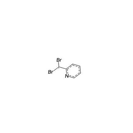 Br[C](Br)c1ccccn1